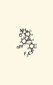 CCCc1c[c]c2c3c(C(N)=O)cccc3n(Cc3ccc(SC(F)(F)F)cc3)c2c1